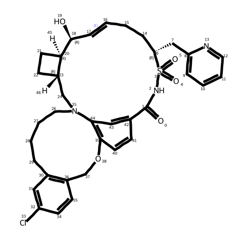 O=C1NS(=O)(=O)[C@@H](Cc2ccccn2)CC/C=C/[C@H](O)[C@@H]2CC[C@H]2CN2CCCCc3cc(Cl)ccc3COc3ccc1cc32